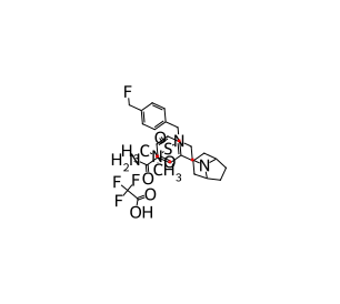 CN(C)S(=O)(=O)N(CCN1C2CCC1CC(c1cccc(C(N)=O)c1)C2)Cc1ccc(CF)cc1.O=C(O)C(F)(F)F